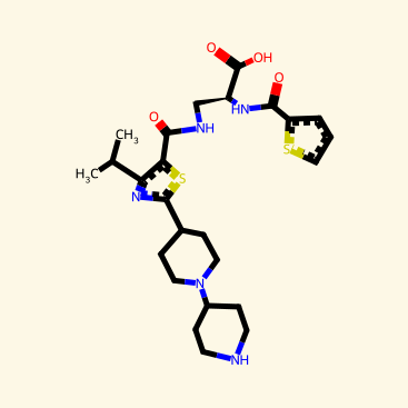 CC(C)c1nc(C2CCN(C3CCNCC3)CC2)sc1C(=O)NC[C@H](NC(=O)c1cccs1)C(=O)O